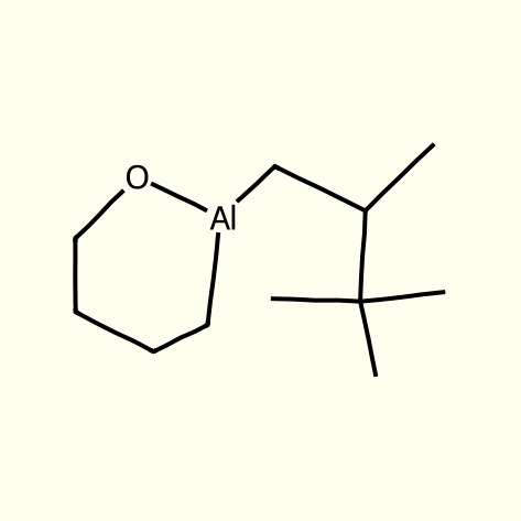 CC([CH2][Al]1[CH2]CCC[O]1)C(C)(C)C